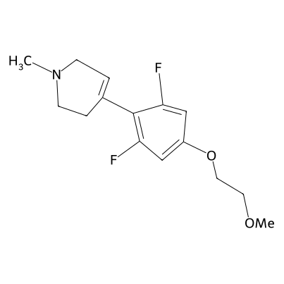 COCCOc1cc(F)c(C2=CCN(C)CC2)c(F)c1